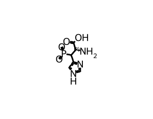 N[C@H](C(=O)O)C(c1c[nH]cn1)P(=O)=O